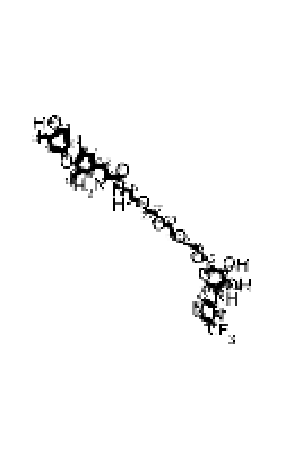 N[C@H](Cc1cc(I)c(Oc2ccc(O)c(I)c2)c(I)c1)C(=O)NCCOCCOCCOCCOC[C@H]1OC[C@H](Nc2cncc(C(F)(F)F)n2)[C@@H](O)[C@H]1O